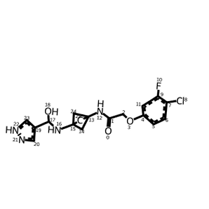 O=C(COc1ccc(Cl)c(F)c1)NC12CC(NC(O)c3cn[nH]c3)(C1)C2